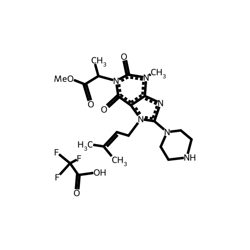 COC(=O)C(C)n1c(=O)c2c(nc(N3CCNCC3)n2CC=C(C)C)n(C)c1=O.O=C(O)C(F)(F)F